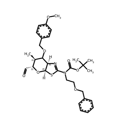 COc1ccc(COC2[C@H]3N=C(N(CCOCc4ccccc4)C(=O)OC(C)(C)C)S[C@H]3O[C@H](C=O)[C@H]2C)cc1